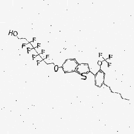 CCCCCc1ccc(-c2cc3ccc(OCCC(F)(F)C(F)(F)C(F)(F)C(F)(F)CCO)cc3s2)c(OC(F)(F)F)c1